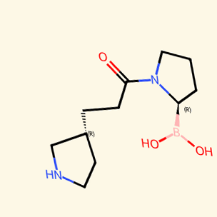 O=C(CC[C@@H]1CCNC1)N1CCC[C@H]1B(O)O